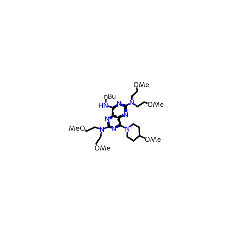 CCCCNc1nc(N(CCOC)CCOC)nc2c(N3CCC(OC)CC3)nc(N(CCOC)CCOC)nc12